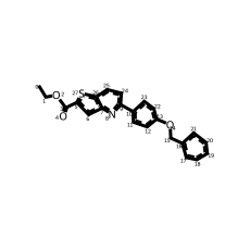 CCOC(=O)c1cc2nc(-c3ccc(OCc4ccccc4)cc3)ccc2s1